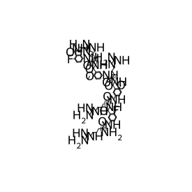 COc1ccc(NC(=O)[C@@H](CCCNC(=N)N)NC(=O)c2cc(NC(=O)[C@H](N)CCCNC(=N)N)ccc2F)cc1C(=O)N[C@H](CCCNC(=N)N)C(=O)Nc1ccc(OC)c(C(=O)N[C@H](CCCNC(=N)N)C(=O)Nc2ccc(F)c(C(N)=O)c2)c1